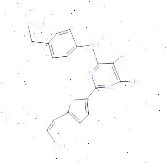 C/C=C\c1ccc(-c2nc(C)c(CC)c(Nc3ccc(CC(=O)O)cc3)n2)s1